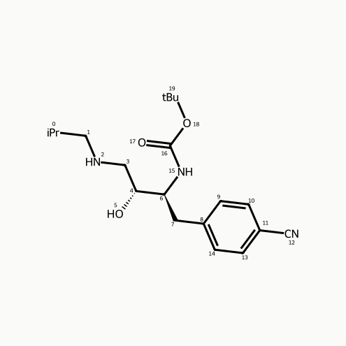 CC(C)CNC[C@@H](O)[C@H](Cc1ccc(C#N)cc1)NC(=O)OC(C)(C)C